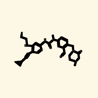 CN1CCN(Cc2ccc(N(C)C(=O)Nc3cc(NCCF)c(C#CC4CC4)cn3)nc2C=O)C(=O)C1